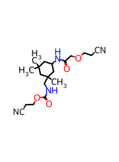 CC1(C)CC(NC(=O)COCCC#N)CC(C)(CNC(=O)OCCC#N)C1